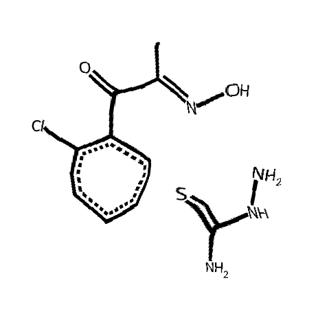 CC(=NO)C(=O)c1ccccc1Cl.NNC(N)=S